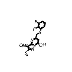 [C-]#[N+]c1c(SC)nn2c(O)cc(CSc3cccc(F)c3F)nc12